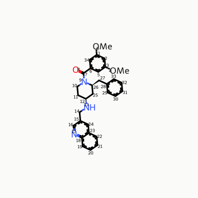 COc1cc(OC)cc(C(=O)N2CC[C@H](NCc3cnc4ccccc4c3)C[C@@H]2Cc2ccccc2)c1